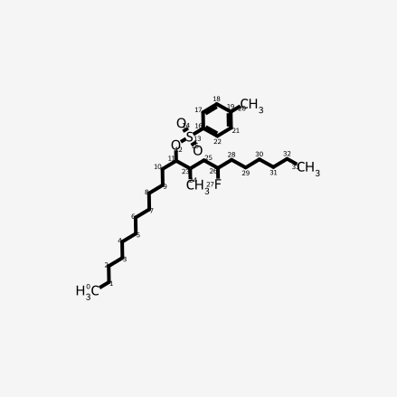 CCCCCCCCCCCC(OS(=O)(=O)c1ccc(C)cc1)C(C)CC(F)CCCCCC